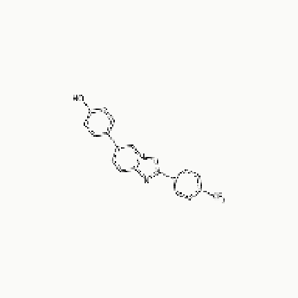 Oc1ccc(-c2ccc3nc(-c4ccc(C(F)(F)F)cc4)cn3c2)cc1